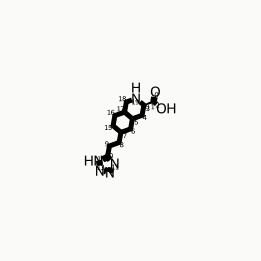 O=C(O)[C@H]1CC2CC(CCc3nnn[nH]3)CCC2CN1